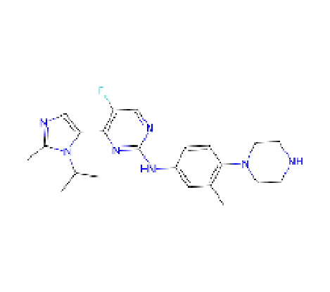 Cc1cc(Nc2ncc(F)c(-c3cnc(C)n3C(C)C)n2)ccc1N1CCNCC1